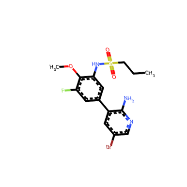 CCCS(=O)(=O)Nc1cc(-c2cc(Br)cnc2N)cc(F)c1OC